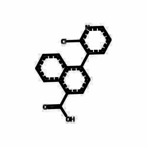 O=C(O)c1ccc(-c2cccnc2Cl)c2ccccc12